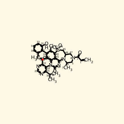 C=CC(=O)N1CC(C)N2c3nc(=O)n(-c4c(C(C)C)ncnc4C(C)C)c4c(F)c(-c5c(O)cccc5F)c(Cl)c(c34)S(=O)(=O)CC2C1